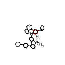 CC1(C)c2cc(N(c3ccc(C4CC5CCC4C5)cc3)c3cccc4cccc(C5CCCCC5)c34)ccc2-c2c(-c3ccc(C4CCCCC4)cc3)cccc21